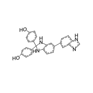 Oc1ccc(C2(c3ccc(O)cc3)Nc3ccc(-c4ccc5[nH]cnc5c4)cc3N2)cc1